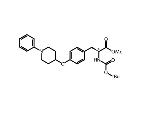 COC(=O)[C@H](Cc1ccc(OC2CCN(c3ccccc3)CC2)cc1)NC(=O)OC(C)(C)C